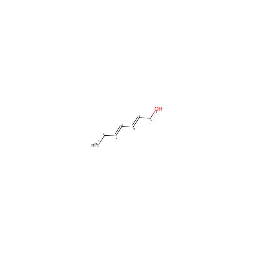 CCCCC=CC=CCO